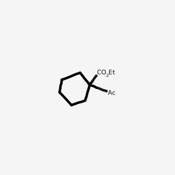 CCOC(=O)C1(C(C)=O)CCCCC1